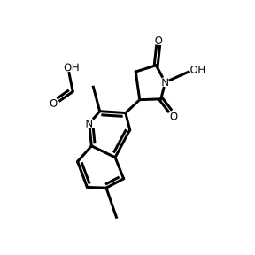 Cc1ccc2nc(C)c(C3CC(=O)N(O)C3=O)cc2c1.O=CO